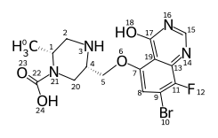 C[C@@H]1CN[C@H](COc2cc(Br)c(F)c3ncnc(O)c23)CN1C(=O)O